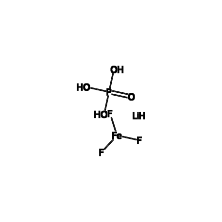 O=P(O)(O)O.[F][Fe]([F])[F].[LiH]